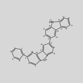 c1ccc(-c2ccc3oc4ccc(-c5ccc6[nH]c7ccccc7c6c5)cc4c3c2)cc1